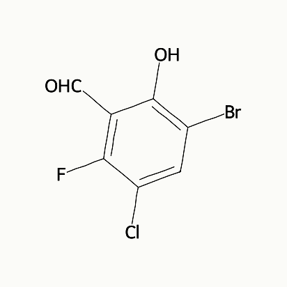 O=Cc1c(O)c(Br)cc(Cl)c1F